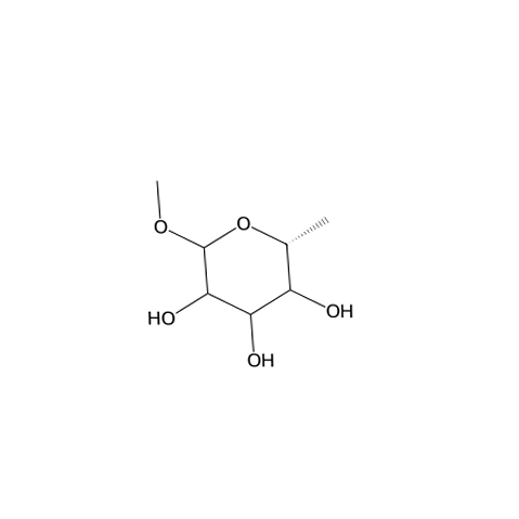 COC1O[C@H](C)C(O)C(O)C1O